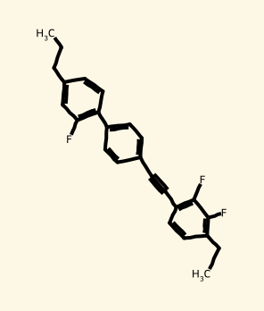 CCCc1ccc(-c2ccc(C#Cc3ccc(CC)c(F)c3F)cc2)c(F)c1